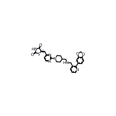 O=C1NC(=O)/C(=C/c2ccnc(N3CCC(CNCc4cccnc4-c4ccc5c(c4)OCO5)CC3)n2)S1